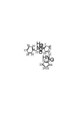 O=C(NCc1cccc(S(=O)(=O)NCc2ccccc2)c1)c1ccccc1